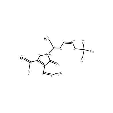 C=C(Cl)C1=C(/C=C\C)C(=O)N(C(C)C/C=N\CC(F)(F)F)C1